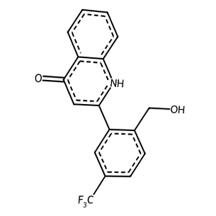 O=c1cc(-c2cc(C(F)(F)F)ccc2CO)[nH]c2ccccc12